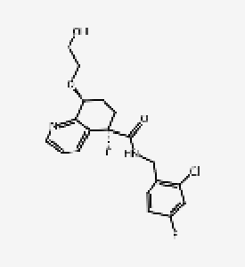 O=C(NCc1ccc(F)cc1Cl)[C@]1(F)CC[C@H](OCCO)c2ncccc21